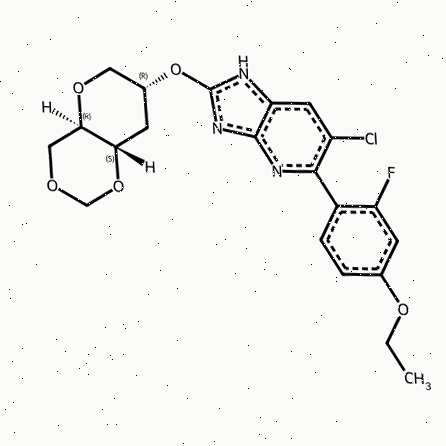 CCOc1ccc(-c2nc3nc(O[C@H]4CO[C@@H]5COCO[C@H]5C4)[nH]c3cc2Cl)c(F)c1